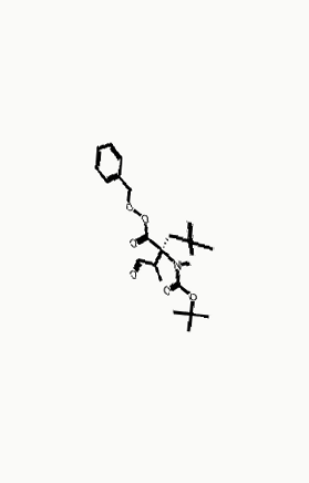 CC(C=O)[C@@](CC(C)(C)C)(C(=O)OOCc1ccccc1)N(C)C(=O)OC(C)(C)C